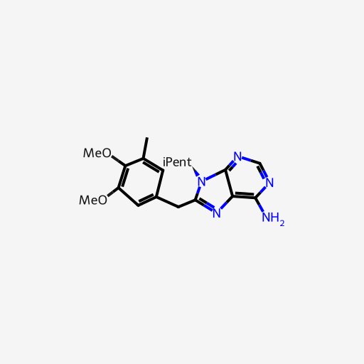 CCC[C@H](C)n1c(Cc2cc(C)c(OC)c(OC)c2)nc2c(N)ncnc21